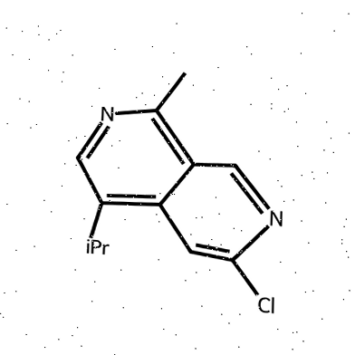 Cc1ncc(C(C)C)c2cc(Cl)ncc12